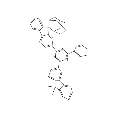 CC1(C)c2ccccc2-c2cc(-c3nc(-c4ccccc4)nc(-c4ccc5c(c4)C4(c6ccccc6-5)C5CC6CC(C5)CC4C6)n3)ccc21